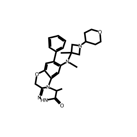 CC1C(=O)NN=C2COc3cc(-c4ccccc4)c(N(C)C4(C)CN(C5CCOCC5)C4)cc3N21